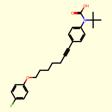 CC(C)(C)N(C(=O)O)c1ccc(C#CCCCCCOc2ccc(F)cc2)cc1